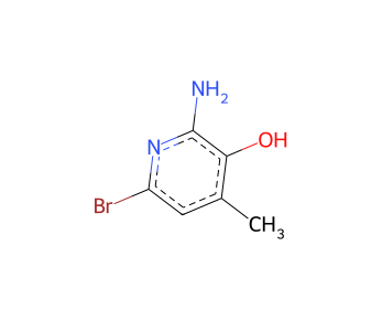 Cc1cc(Br)nc(N)c1O